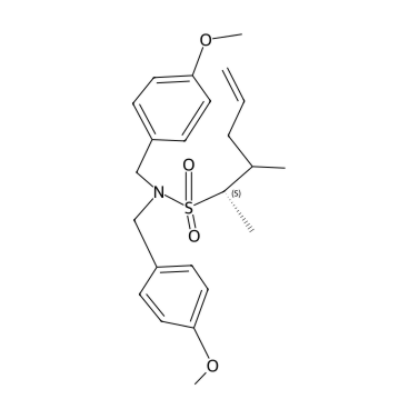 C=CCC(C)[C@H](C)S(=O)(=O)N(Cc1ccc(OC)cc1)Cc1ccc(OC)cc1